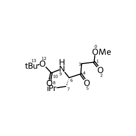 COC(=O)CC(=O)[C@H](CC(C)C)NC(=O)OC(C)(C)C